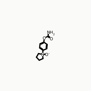 NC(=O)Oc1ccc([N+]2([O-])CCCC2)cc1